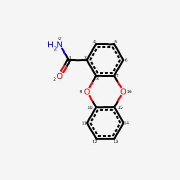 NC(=O)c1cccc2c1Oc1ccccc1O2